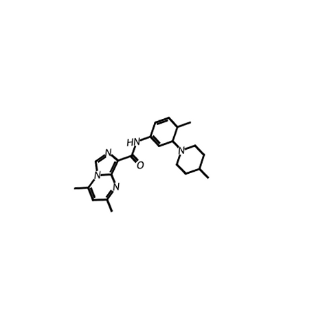 Cc1cc(C)n2cnc(C(=O)NC3=CC(N4CCC(C)CC4)C(C)C=C3)c2n1